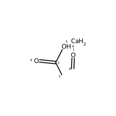 C=O.CC(=O)O.[CaH2]